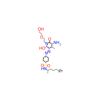 Cc1c(/N=N/c2ccc(S(=O)(=O)NC(C)CCCC(C)C)cc2)c(O)n(CCOCCO)c(=O)c1N